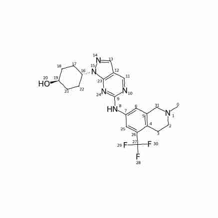 CN1CCc2c(cc(Nc3ncc4cnn([C@H]5CC[C@H](O)CC5)c4n3)cc2C(F)(F)F)C1